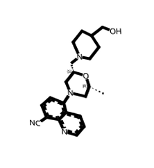 C[C@@H]1CN(c2ccc(C#N)c3ncccc23)C[C@H](CN2CCC(CO)CC2)O1